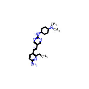 CCc1nc(N)ccc1/C=C/c1cnc(NC2CCC(N(C)C)CC2)nc1